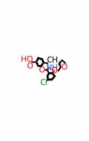 C[C@H](NC(=O)c1cc(Cl)ccc1OCC1CCCO1)c1ccc(C(=O)O)cc1